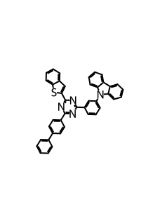 c1ccc(-c2ccc(-c3nc(-c4cccc(-n5c6ccccc6c6ccccc65)c4)nc(-c4cc5ccccc5s4)n3)cc2)cc1